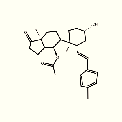 CC(=O)O[C@H]1C2CCC(=O)[C@@]2(C)CCC1[C@@]1(C)CC[C@H](O)C[C@@H]1/C=C/c1ccc(C)cc1